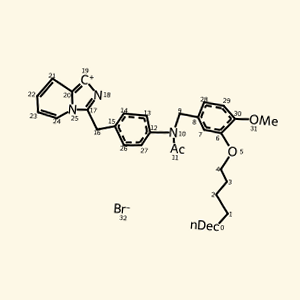 CCCCCCCCCCCCCCOc1cc(CN(C(C)=O)c2ccc(CC3=N[C+]=C4C=CC=CN43)cc2)ccc1OC.[Br-]